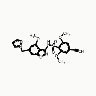 C#Cc1cc(OC)c(S(=O)(=O)Nc2noc3cc(Cn4cccn4)cc(OC)c23)c(OC)c1